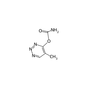 Cc1cnnnc1OC(N)=O